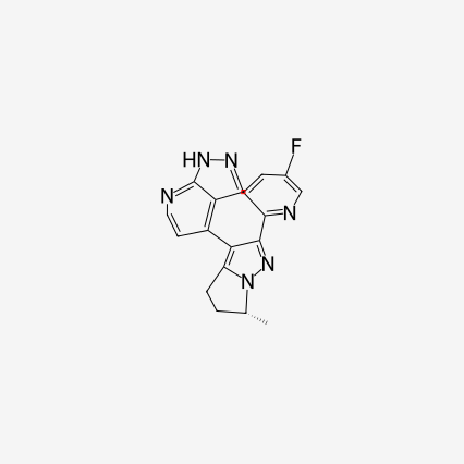 C[C@@H]1CCc2c(-c3ccnc4[nH]ncc34)c(-c3ccc(F)cn3)nn21